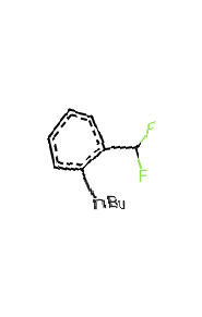 CCCCc1ccccc1C(F)F